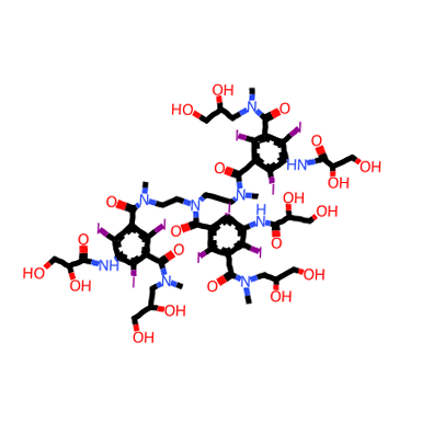 CN(CCN(CCN(C)C(=O)c1c(I)c(NC(=O)C(O)CO)c(I)c(C(=O)N(C)CC(O)CO)c1I)C(=O)c1c(I)c(NC(=O)C(O)CO)c(I)c(C(=O)N(C)CC(O)CO)c1I)C(=O)c1c(I)c(NC(=O)C(O)CO)c(I)c(C(=O)N(C)CC(O)CO)c1I